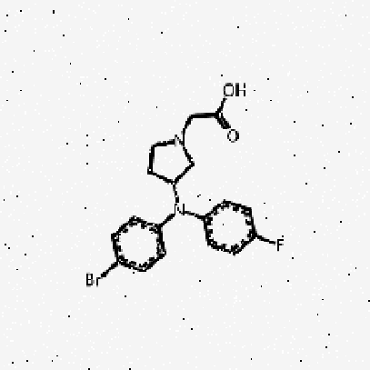 O=C(O)CN1CCC(N(c2ccc(F)cc2)c2ccc(Br)cc2)C1